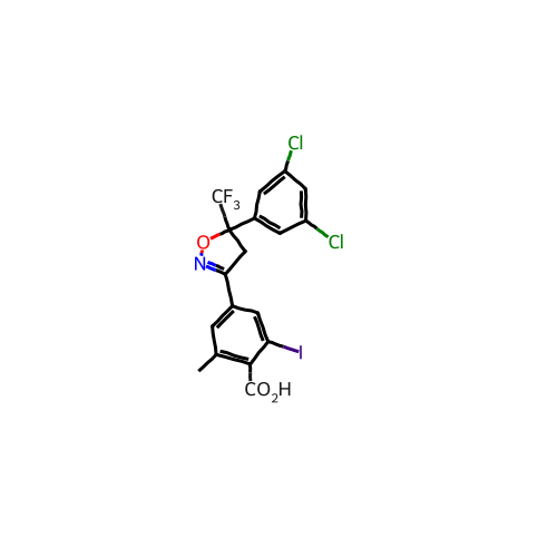 Cc1cc(C2=NOC(c3cc(Cl)cc(Cl)c3)(C(F)(F)F)C2)cc(I)c1C(=O)O